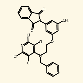 Cc1cc(OCCN(Cc2ccccc2)c2c(Cl)c(Cl)nc(Cl)c2Cl)cc(N2C(=O)c3ccccc3C2=O)c1